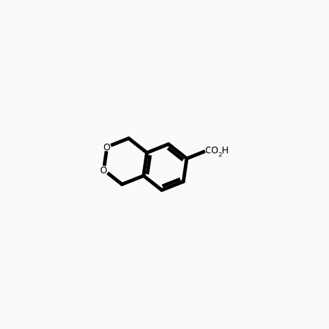 O=C(O)c1ccc2c(c1)COOC2